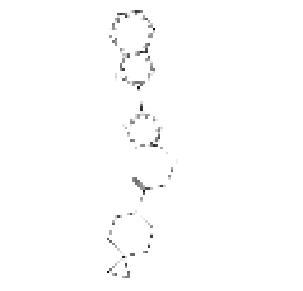 C[C@@H](Nc1nnc(-c2cc3cccnc3[nH]2)o1)C(=O)N1CCC2(CC1)CC2